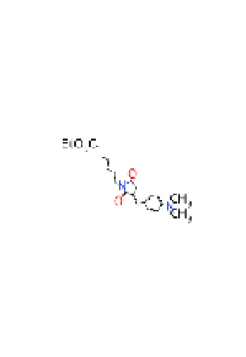 CCOC(=O)CCCCCCN1C(=O)C/C(=C\c2ccc(N(C)C)cc2)C1=O